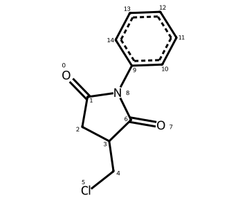 O=C1CC(CCl)C(=O)N1c1ccccc1